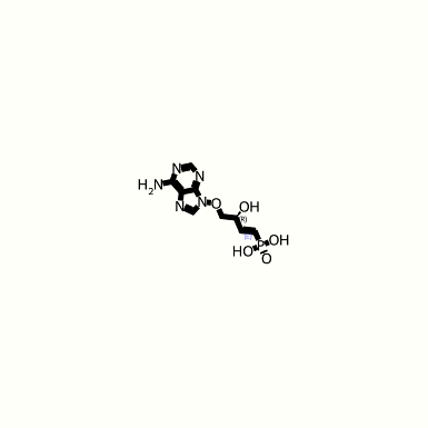 Nc1ncnc2c1ncn2OC[C@H](O)/C=C/P(=O)(O)O